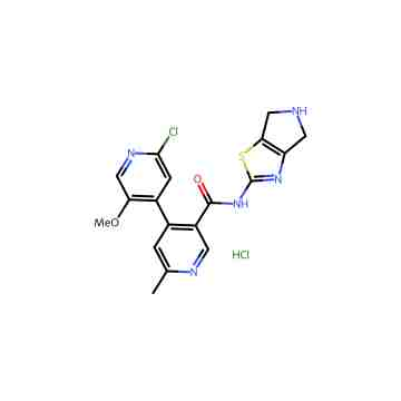 COc1cnc(Cl)cc1-c1cc(C)ncc1C(=O)Nc1nc2c(s1)CNC2.Cl